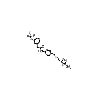 Nc1nnc(CCCCc2cnc(NC(=O)Cc3cccc(OC(F)(F)F)c3)nc2)s1